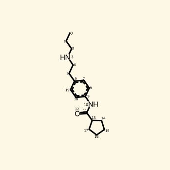 CCCNCCc1ccc(NC(=O)C2CCCC2)cc1